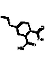 CCCC1=CCC(C(=O)O)C(C(=O)O)C1